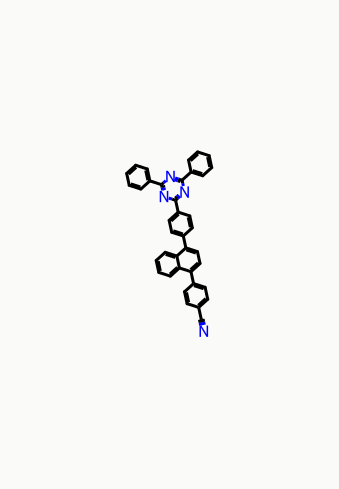 N#Cc1ccc(-c2ccc(-c3ccc(-c4nc(-c5ccccc5)nc(-c5ccccc5)n4)cc3)c3ccccc23)cc1